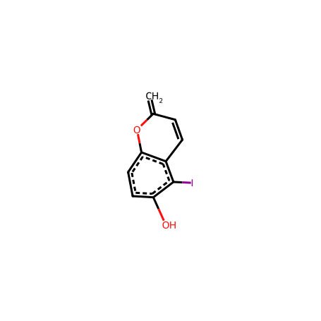 C=C1C=Cc2c(ccc(O)c2I)O1